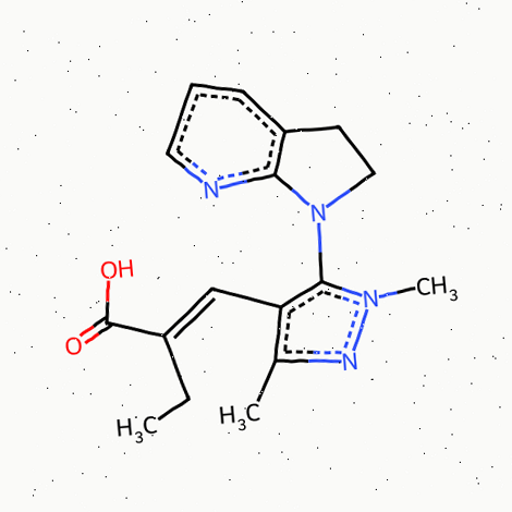 CCC(=Cc1c(C)nn(C)c1N1CCc2cccnc21)C(=O)O